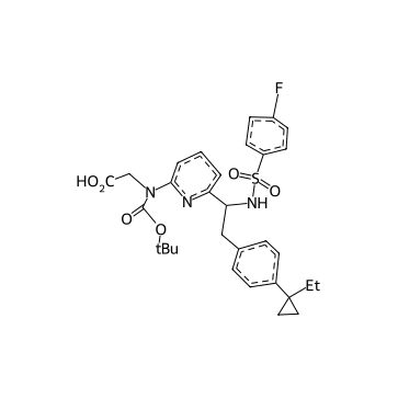 CCC1(c2ccc(CC(NS(=O)(=O)c3ccc(F)cc3)c3cccc(N(CC(=O)O)C(=O)OC(C)(C)C)n3)cc2)CC1